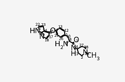 CN1CCC(NC(=O)[C@H](N)Cc2ccc(Oc3ccnc4[nH]ccc34)cc2)CC1